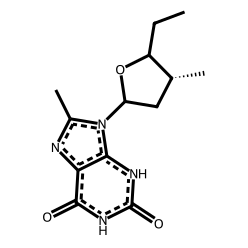 CCC1OC(n2c(C)nc3c(=O)[nH]c(=O)[nH]c32)C[C@H]1C